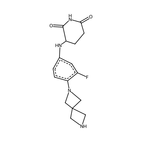 O=C1CCC(Nc2ccc(N3CC4(CNC4)C3)c(F)c2)C(=O)N1